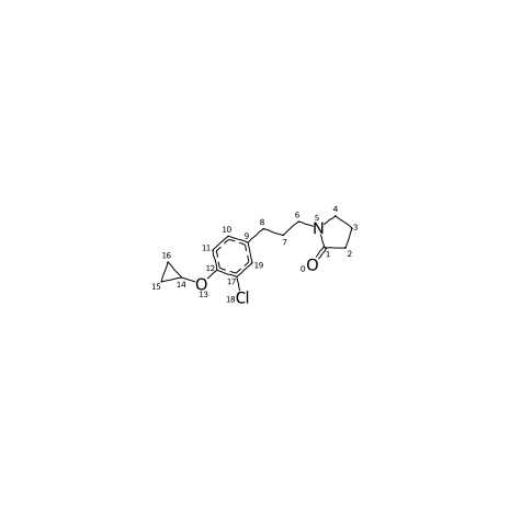 O=C1CCCN1CCCc1ccc(OC2CC2)c(Cl)c1